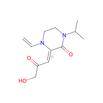 C=CN1CCN(C(C)C)C(=O)/C1=C/C(=O)CO